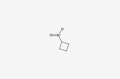 O=[N+]([O-])C1[CH]CC1